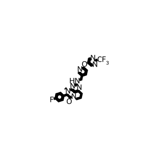 CN1c2nc(NCc3ccc(Oc4cnc(C(F)(F)F)nc4)nc3)nc3c2N(CCC3)C(=O)C1c1ccc(F)cc1